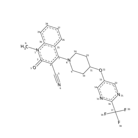 Cn1c(=O)c(C#N)c(N2CCC(Oc3cnc(C(F)(F)F)nc3)CC2)c2ccccc21